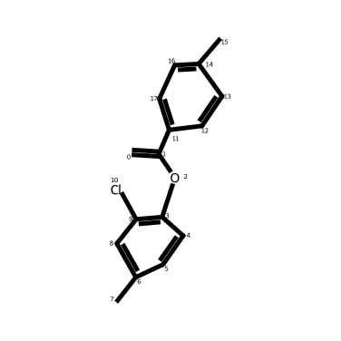 C=C(Oc1ccc(C)cc1Cl)c1ccc(C)cc1